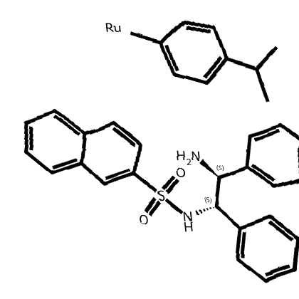 Cc1ccc(C(C)C)cc1.N[C@@H](c1ccccc1)[C@@H](NS(=O)(=O)c1ccc2ccccc2c1)c1ccccc1.[Ru]